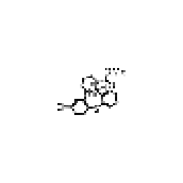 COC(=O)[C@H]1CCCN2c3cc(Cl)ccc3Sc3ccccc3[C@@H]12